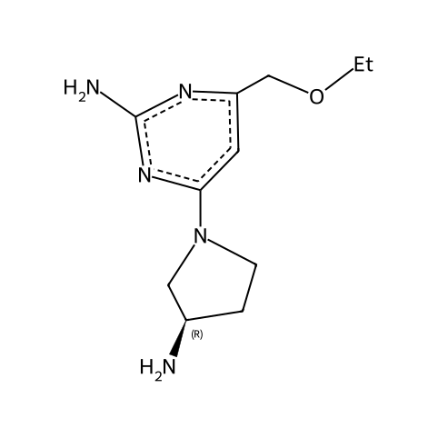 CCOCc1cc(N2CC[C@@H](N)C2)nc(N)n1